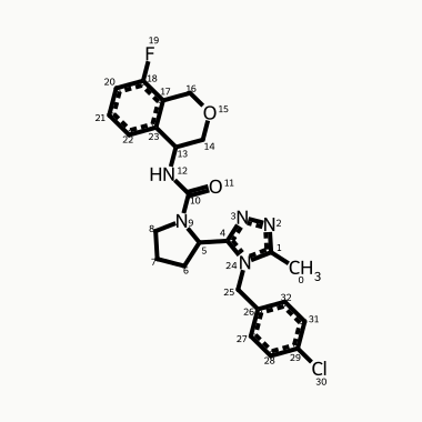 Cc1nnc(C2CCCN2C(=O)NC2COCc3c(F)cccc32)n1Cc1ccc(Cl)cc1